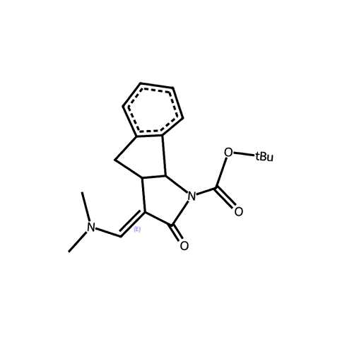 CN(C)/C=C1/C(=O)N(C(=O)OC(C)(C)C)C2c3ccccc3CC12